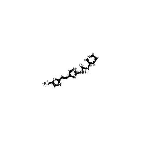 CC(C)(C)c1cnc(/C=C/c2cnc(NC(=O)Nc3cccnc3)s2)o1